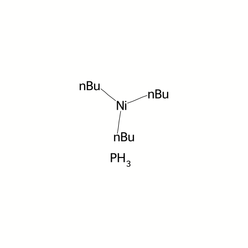 CCC[CH2][Ni]([CH2]CCC)[CH2]CCC.P